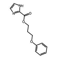 O=C(OCCCOc1ccccc1)c1ncc[nH]1